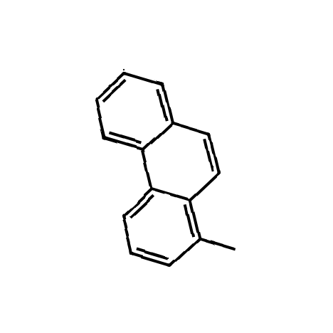 Cc1cccc2c1ccc1c[c]ccc12